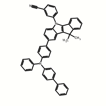 CC1(C)c2ccccc2-c2c1c1cc(-c3ccc(N(c4ccccc4)c4ccc(-c5ccccc5)cc4)cc3)ccc1n2-c1cccc(C#N)c1